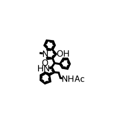 CC(=O)NCCc1c(C(c2ccccc2)c2c(O)c3ccccc3n(C)c2=O)[nH]c2ccccc12